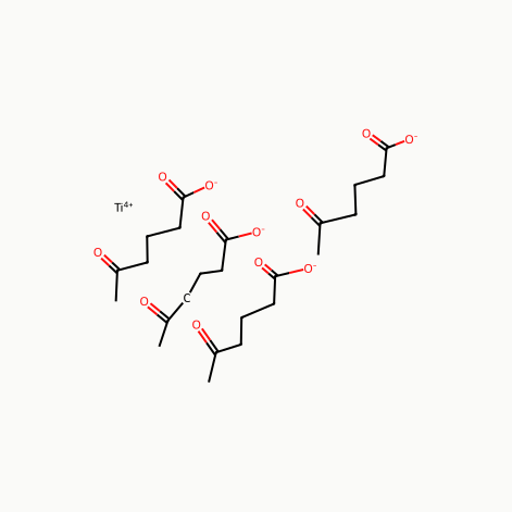 CC(=O)CCCC(=O)[O-].CC(=O)CCCC(=O)[O-].CC(=O)CCCC(=O)[O-].CC(=O)CCCC(=O)[O-].[Ti+4]